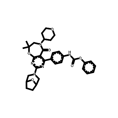 CC1(C)CN(C2CCOCC2)C(=O)c2c(nc(N3CC4CCC(C3)O4)nc2-c2ccc(NC(=O)Oc3ccccc3)cc2)O1